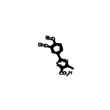 Cc1nc(-c2ccc(OCC(C)C)c(C=O)c2)sc1C(=O)O